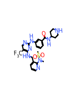 CN(c1ncccc1CNc1nc(Nc2cccc(C(=O)NC3CCNCC3)c2)ncc1C(F)(F)F)S(C)(=O)=O